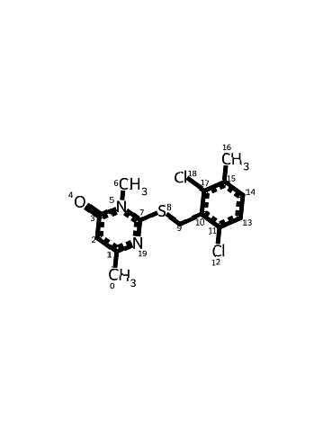 Cc1cc(=O)n(C)c(SCc2c(Cl)ccc(C)c2Cl)n1